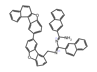 N/C(=N\C(=N/Cc1cccc2oc3ccc(-c4ccc5oc6ccc7ccccc7c6c5c4)cc3c12)c1ccc2ccccc2c1)c1ccc2ccccc2c1